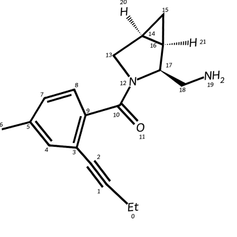 CCC#Cc1cc(C)ccc1C(=O)N1C[C@H]2C[C@H]2[C@H]1CN